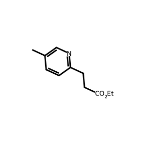 CCOC(=O)CCc1ccc(C)cn1